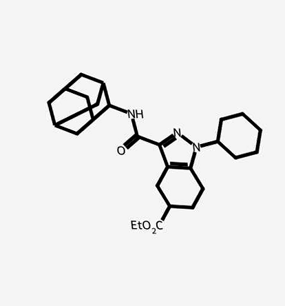 CCOC(=O)C1CCc2c(c(C(=O)NC3C4CC5CC(C4)CC3C5)nn2C2CCCCC2)C1